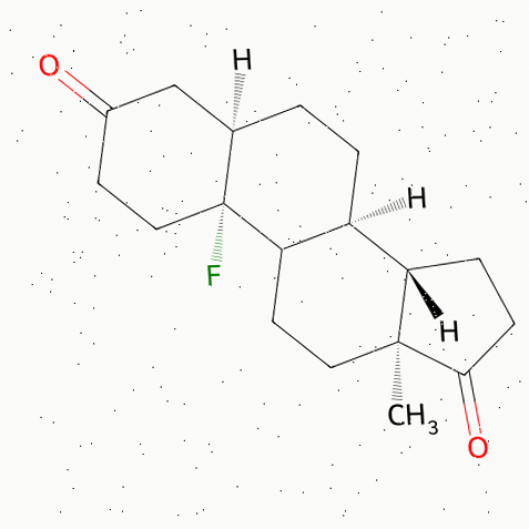 C[C@]12CCC3[C@@H](CC[C@@H]4CC(=O)CC[C@]34F)[C@@H]1CCC2=O